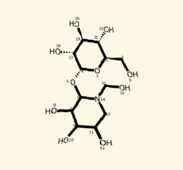 OC[C@H]1O[C@H](OC2C(O)C(O)C(O)CN2CO)[C@H](O)[C@@H](O)[C@@H]1O